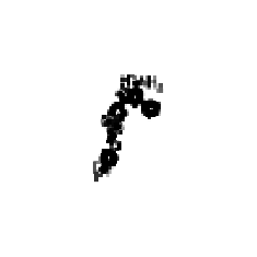 NC(=O)c1cc(-c2ccccc2)cc2c(C3CCN(S(=O)(=O)CCCOc4ccc(C(F)(F)F)cc4)CC3)c[nH]c12